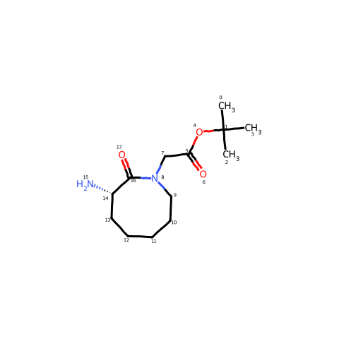 CC(C)(C)OC(=O)CN1CCCCC[C@H](N)C1=O